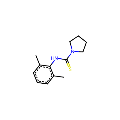 Cc1cccc(C)c1NC(=S)N1CCCC1